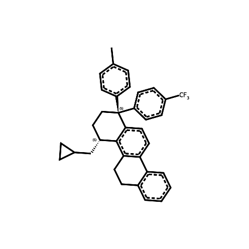 Cc1ccc([C@]2(c3ccc(C(F)(F)F)cc3)CC[C@@H](CC3CC3)c3c2ccc2c3CCc3ccccc3-2)cc1